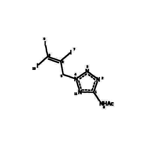 CC(=O)Nc1nnn(CC(I)=C(I)I)n1